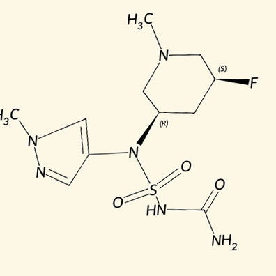 CN1C[C@@H](F)C[C@@H](N(c2cnn(C)c2)S(=O)(=O)NC(N)=O)C1